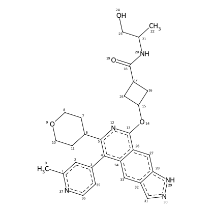 Cc1cc(-c2c(C3CCOCC3)nc(OC3CC(C(=O)NC(C)CO)C3)c3cc4[nH]ncc4cc23)ccn1